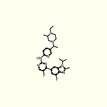 CCN1CCN(C(C)c2ccc(Nc3ncc(F)c(-c4cc(F)c5nc(C)n(C(C)C)c5c4)n3)nc2)CC1C